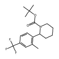 Cc1cc(C(F)(F)F)ccc1C1CCCCN1C(=O)OC(C)(C)C